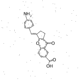 Nc1ccc(/C=C2\CCc3c2oc2ccc(C(=O)O)cc2c3=O)cc1